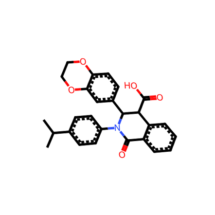 CC(C)c1ccc(N2C(=O)c3ccccc3C(C(=O)O)C2c2ccc3c(c2)OCCO3)cc1